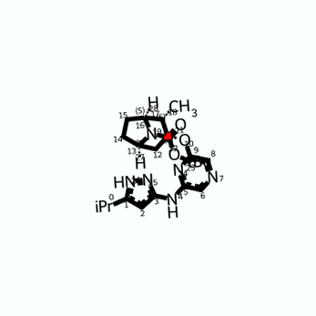 CC(C)c1cc(Nc2cncc(O[C@@H]3C[C@H]4CC[C@@H]([C@@H]3C)N4C(=O)OC(C)(C)C)n2)n[nH]1